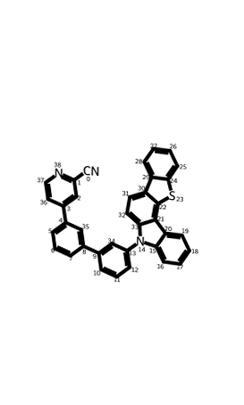 N#Cc1cc(-c2cccc(-c3cccc(-n4c5ccccc5c5c6sc7ccccc7c6ccc54)c3)c2)ccn1